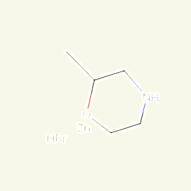 Br.CC1CNCCO1.[Zn]